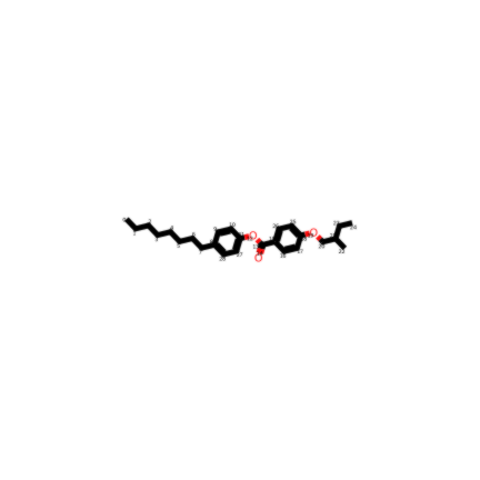 CCCCCCCCc1ccc(OC(=O)c2ccc(OCC(C)CC)cc2)cc1